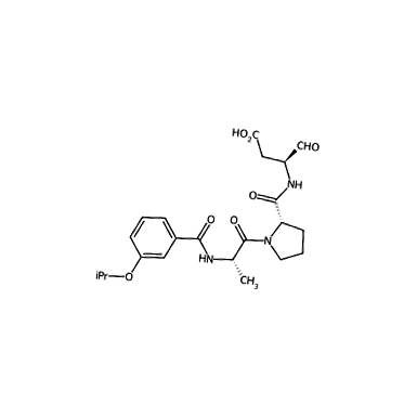 CC(C)Oc1cccc(C(=O)N[C@@H](C)C(=O)N2CCC[C@H]2C(=O)N[C@H](C=O)CC(=O)O)c1